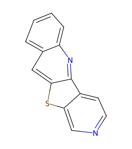 c1ccc2nc3c(cc2c1)sc1cnccc13